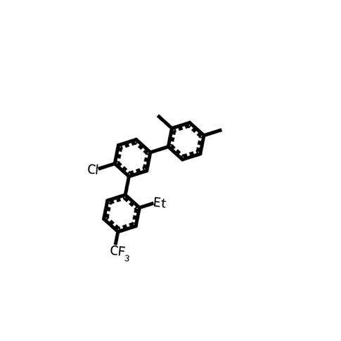 CCc1cc(C(F)(F)F)ccc1-c1cc(-c2ccc(C)cc2C)ccc1Cl